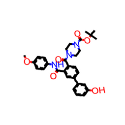 COc1ccc(NC(=O)c2cc(-c3cccc(O)c3)ccc2C(=O)N2CCN(C(=O)OC(C)(C)C)CC2)cc1